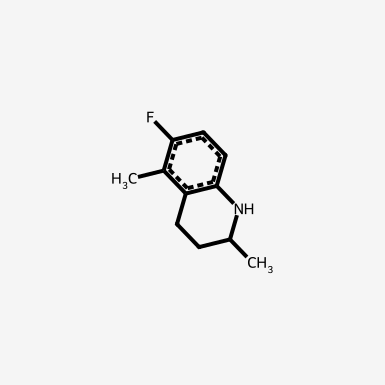 Cc1c(F)ccc2c1CCC(C)N2